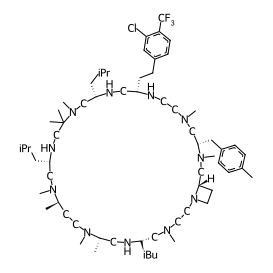 CC[C@H](C)[C@H]1CN(C)CCN2CC[C@H]2CN(C)[C@@H](Cc2ccc(C)cc2)CN(C)CCN[C@@H](CCc2ccc(C(F)(F)F)c(Cl)c2)CN[C@@H](CC(C)C)CN(C)C(C)(C)CN[C@@H](CC(C)C)CN(C)[C@H](C)CCN(C)[C@@H](C)CN1